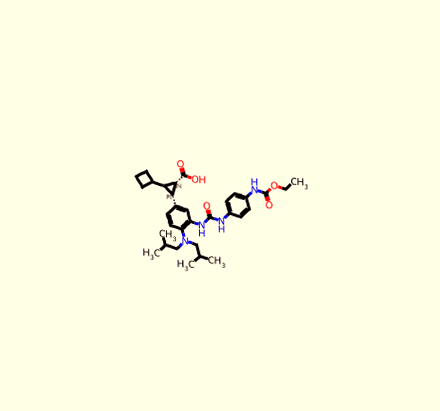 CCOC(=O)Nc1ccc(NC(=O)Nc2cc([C@@H]3C(C4CCC4)[C@@H]3C(=O)O)ccc2N(CC(C)C)CC(C)C)cc1